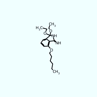 CCCCCCOc1cccc2c1C(=N)NC2(OCC)OCC